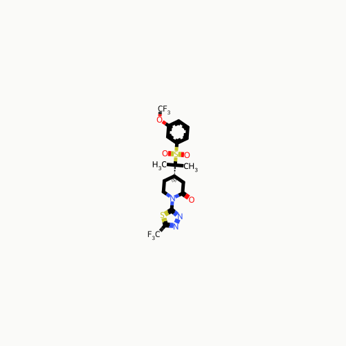 CC(C)([C@H]1CCN(c2nnc(C(F)(F)F)s2)C(=O)C1)S(=O)(=O)c1cccc(OC(F)(F)F)c1